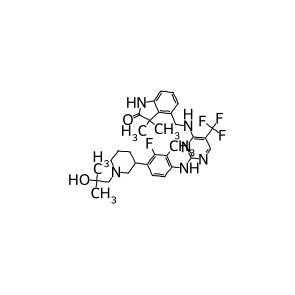 Cc1c(Nc2ncc(C(F)(F)F)c(NCc3cccc4c3C(C)(C)C(=O)N4)n2)ccc(C2CCCN(CC(C)(C)O)C2)c1F